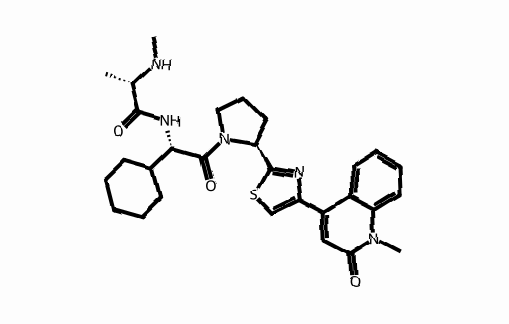 CN[C@@H](C)C(=O)N[C@H](C(=O)N1CCC[C@H]1c1nc(-c2cc(=O)n(C)c3ccccc23)cs1)C1CCCCC1